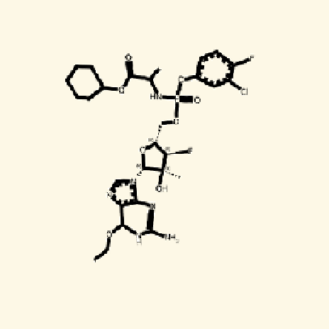 CCOC1NC(N)=Nc2c1ncn2[C@@H]1O[C@H](COP(=O)(NC(C)C(=O)OC2CCCCC2)Oc2ccc(F)c(Cl)c2)[C@@H](F)[C@@]1(C)O